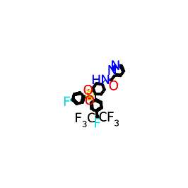 O=C(N[C@H]1CC[C@@](c2ccc(C(F)(C(F)(F)F)C(F)(F)F)cc2)(S(=O)(=O)c2ccc(F)cc2)CC1)c1cccnn1